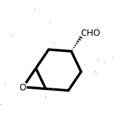 O=C[C@@H]1CCC2OC2C1